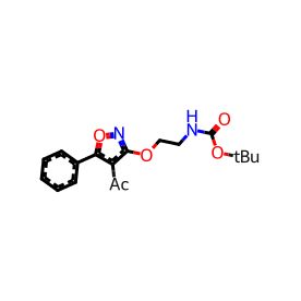 CC(=O)c1c(OCCNC(=O)OC(C)(C)C)noc1-c1ccccc1